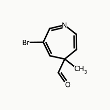 CC1(C=O)C=CN=CC(Br)=C1